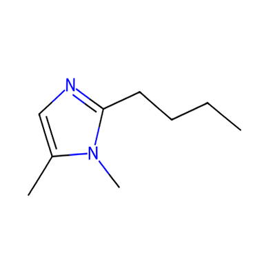 CCCCc1ncc(C)n1C